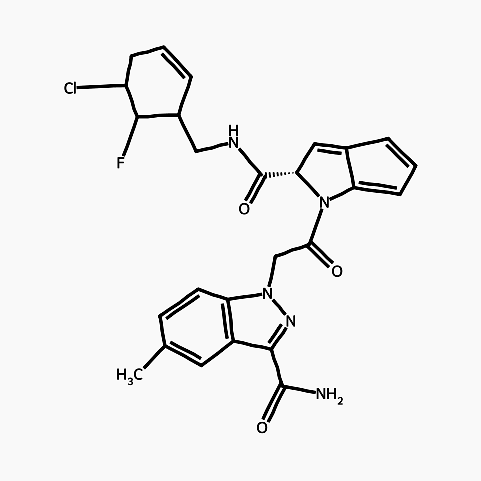 Cc1ccc2c(c1)c(C(N)=O)nn2CC(=O)N1C2=CC=CC2=C[C@H]1C(=O)NCC1C=CCC(Cl)C1F